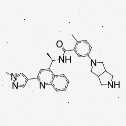 Cc1ccc(N2CC3CNCC3C2)cc1C(=O)N[C@H](C)c1cc(-c2cnn(C)c2)nc2ccccc12